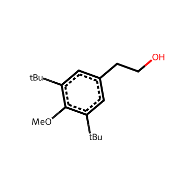 COc1c(C(C)(C)C)cc(CCO)cc1C(C)(C)C